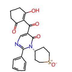 O=C1CCCC(O)=C1C(=O)c1cnc(-c2ccccc2)n([C@H]2CC[S@+]([O-])CC2)c1=O